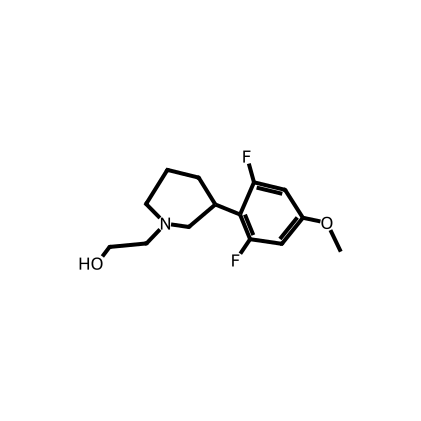 COc1cc(F)c(C2CCCN(CCO)C2)c(F)c1